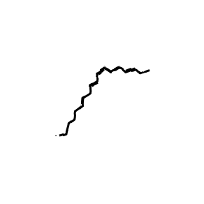 [CH2]CCCCCCC/C=C/C=C\CC/C=C/CC